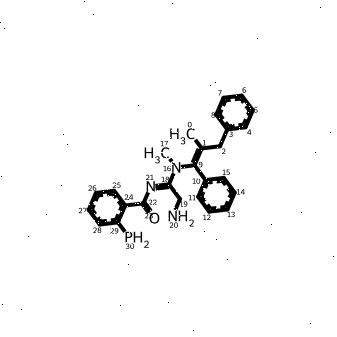 C/C(Cc1ccccc1)=C(/c1ccccc1)N(C)/C(CN)=N/C(=O)c1ccccc1P